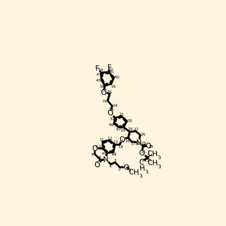 COCCCN1C(=O)COc2ccc(COC3CN(C(=O)OC(C)(C)C)CCC3c3ccc(OCCCOc4ccc(F)c(F)c4)cc3)cc21